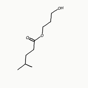 CC(C)CCC(=O)OCCCO